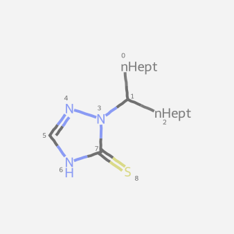 CCCCCCCC(CCCCCCC)n1nc[nH]c1=S